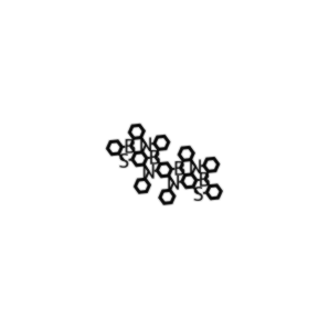 c1ccc(N2c3cc4c(cc3B3c5ccccc5N5c6ccccc6B6c7ccccc7Sc7cc2c3c5c76)B2c3ccccc3N3c5ccccc5B5c6ccccc6Sc6cc(c2c3c65)N4c2ccccc2)cc1